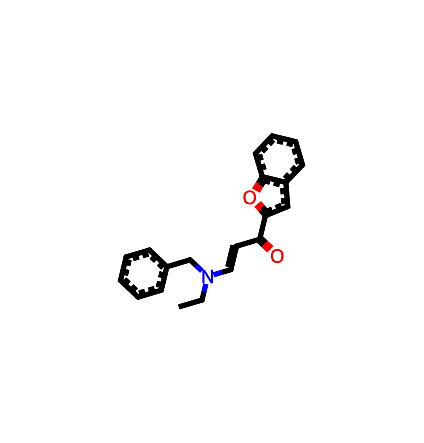 CCN(C=CC(=O)c1cc2ccccc2o1)Cc1ccccc1